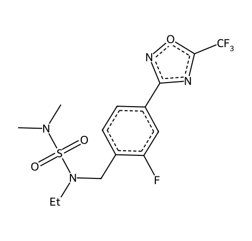 CCN(Cc1ccc(-c2noc(C(F)(F)F)n2)cc1F)S(=O)(=O)N(C)C